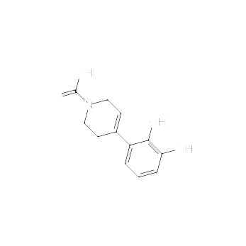 O=C(O)N1CC=C(c2cccc(O)c2O)CC1